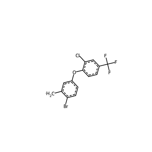 [CH2]c1cc(Oc2ccc(C(F)(F)F)cc2Cl)ccc1Br